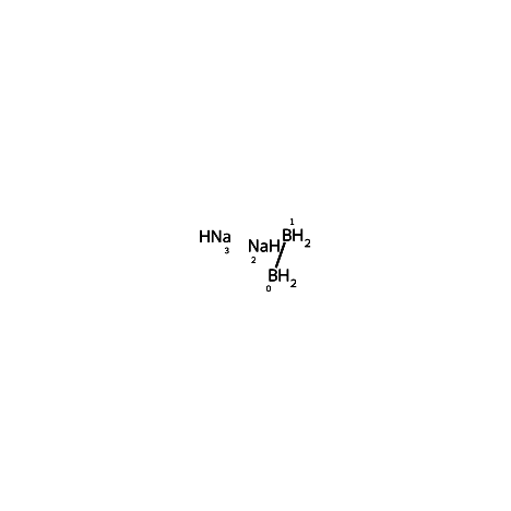 BB.[NaH].[NaH]